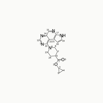 O=C(OC1CC1)C1CCN(c2ncnc3cnc4[nH]ccc4c23)CC1